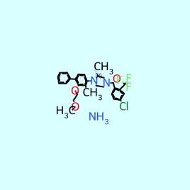 CC[C@@H]1CN(C(=O)c2ccc(Cl)cc2C(F)(F)F)CCN1c1ccc(-c2ccccc2)c(OCCOC)c1C.N